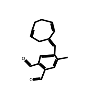 Cc1cc(C=O)c(C=O)cc1/C=C1/C=C\CC/C=C\C1